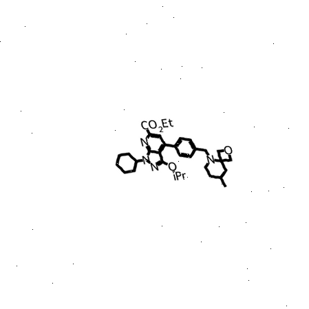 CCOC(=O)c1cc(-c2ccc(CN3CCC(C)CC34COC4)cc2)c2c(OC(C)C)nn(C3CCCCC3)c2n1